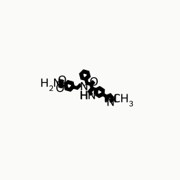 Cn1cc(-c2ccc3c(C(=O)[C@H](NCCc4ccc(S(N)(=O)=O)cc4)c4ccccc4)c[nH]c3c2)cn1